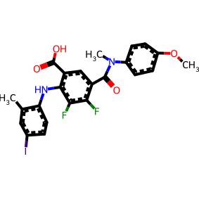 COc1ccc(N(C)C(=O)c2cc(C(=O)O)c(Nc3ccc(I)cc3C)c(F)c2F)cc1